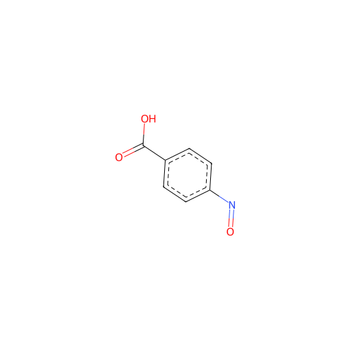 O=Nc1ccc(C(=O)O)cc1